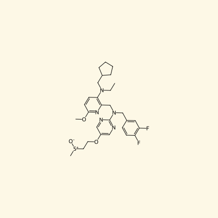 CCN(CC1CCCC1)c1ccc(OC)nc1CN(Cc1ccc(F)c(F)c1)c1ncc(OCC[S+](C)[O-])cn1